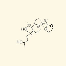 CC(O)CCC(C)(C)C1CC[C@@]2(C)C(CC[C@@H]2[C@H](C)C2OCCO2)C1[C@@H](C)O